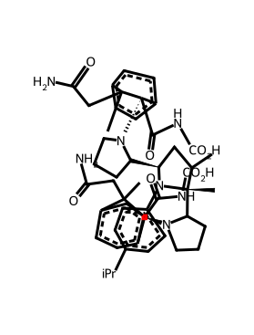 CC(C)c1ccc(N2[C@@H](C3CCCN3[C@@]3(C(=O)NC(=O)O)c4ccc(cc4)C3(C)CC(N)=O)CC(C)[C@]2(C)C2CCCN2[C@@]2(C(=O)NC(=O)O)c3ccc(cc3)C2(C)CC(N)=O)cc1